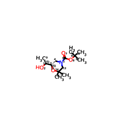 C[C@H](O)[C@@H]1CN(C(=O)OC(C)(C)C)CC(C)(C)O1